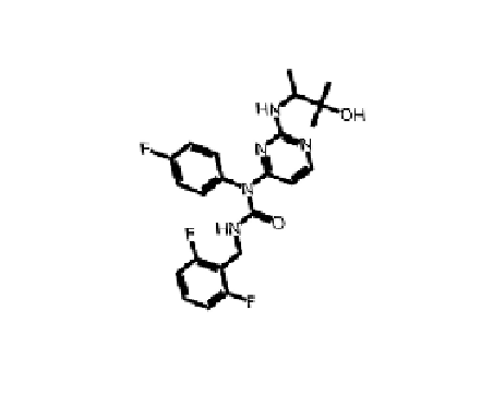 CC(Nc1nccc(N(C(=O)NCc2c(F)cccc2F)c2ccc(F)cc2)n1)C(C)(C)O